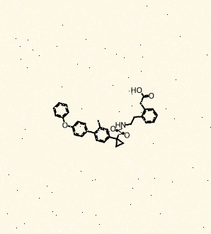 Cc1cc(C2(S(=O)(=O)NCCc3ccccc3CC(=O)O)CC2)ccc1-c1ccc(Oc2ccccc2)cc1